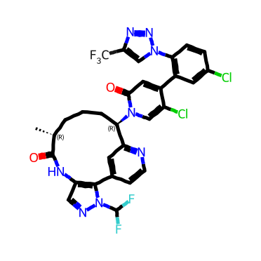 C[C@@H]1CCC[C@@H](n2cc(Cl)c(-c3cc(Cl)ccc3-n3cc(C(F)(F)F)nn3)cc2=O)c2cc(ccn2)-c2c(cnn2C(F)F)NC1=O